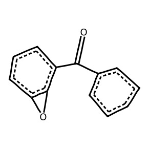 O=C(c1ccccc1)c1cccc2c1O2